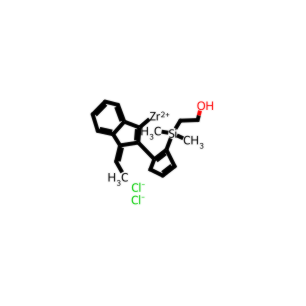 CC=C1C(C2=C([Si](C)(C)CCO)C=CC2)=[C]([Zr+2])c2ccccc21.[Cl-].[Cl-]